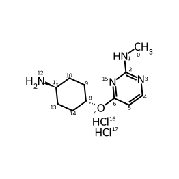 CNc1nccc(O[C@H]2CC[C@H](N)CC2)n1.Cl.Cl